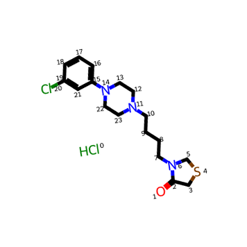 Cl.O=C1CSCN1CCCCN1CCN(c2cccc(Cl)c2)CC1